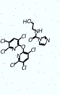 Clc1cc(Cl)c(Oc2nc(Cl)c(Cl)cc2Cl)nc1Cl.O=C(NCCO)n1ccnc1